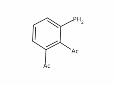 CC(=O)c1cccc(P)c1C(C)=O